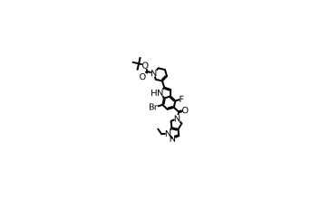 CCn1ncc2c1CN(C(=O)c1cc(Br)c3[nH]c(C4=CCCN(C(=O)OC(C)(C)C)C4)cc3c1F)C2